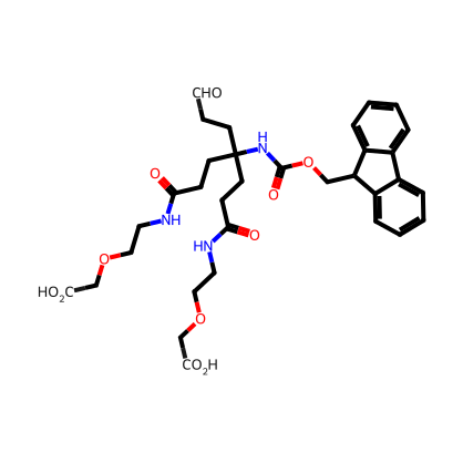 O=CCCC(CCC(=O)NCCOCC(=O)O)(CCC(=O)NCCOCC(=O)O)NC(=O)OCC1c2ccccc2-c2ccccc21